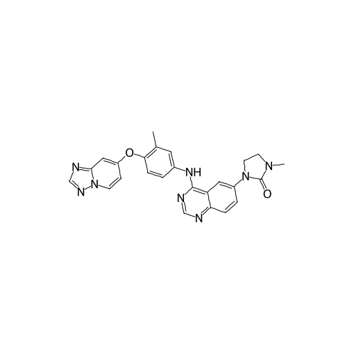 Cc1cc(Nc2ncnc3ccc(N4CCN(C)C4=O)cc23)ccc1Oc1ccn2ncnc2c1